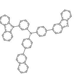 c1cc(N(c2ccc(-c3ccc4ccccc4c3)cc2)c2ccc(-c3ccc4sc5ccccc5c4c3)cc2)cc(-n2c3ccccc3c3ccccc32)c1